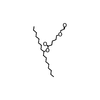 CCCCCCCCC(CCCCCCCC)OC(=O)CCCCOCC=O